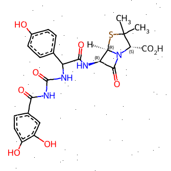 CC1(C)S[C@@H]2[C@H](NC(=O)C(NC(=O)NC(=O)c3ccc(O)c(O)c3)c3ccc(O)cc3)C(=O)N2[C@H]1C(=O)O